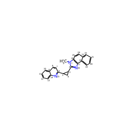 Cn1c(C2CC2c2ccc3ccccc3n2)nc2c3ccccc3ccc21